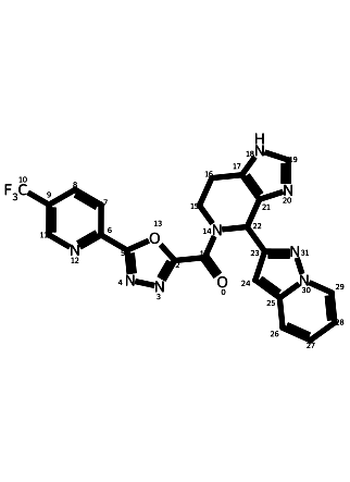 O=C(c1nnc(-c2ccc(C(F)(F)F)cn2)o1)N1CCc2[nH]cnc2C1c1cc2ccccn2n1